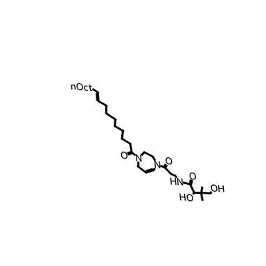 CCCCCCCCC=CCCCCCCCC(=O)N1CC=CN(C(=O)CCNC(=O)C(O)C(C)(C)CO)CC1